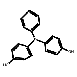 Oc1ccc(P(c2ccccc2)c2ccc(O)cc2)cc1